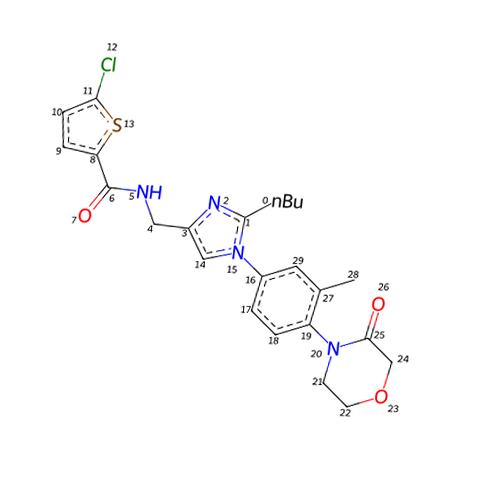 CCCCc1nc(CNC(=O)c2ccc(Cl)s2)cn1-c1ccc(N2CCOCC2=O)c(C)c1